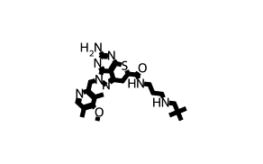 COc1c(C)cnc(Cn2nc3c4c(nc(N)nc42)SC(C(=O)NCCCNCC(C)(C)C)C3)c1C